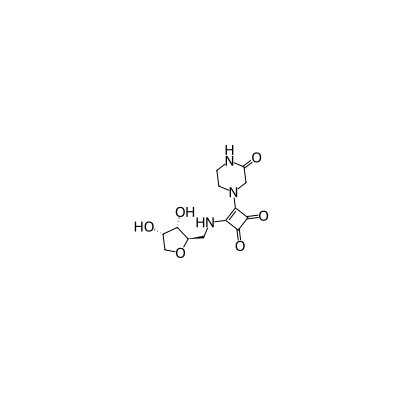 O=C1CN(c2c(NC[C@H]3OC[C@H](O)[C@@H]3O)c(=O)c2=O)CCN1